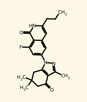 CCCc1cc2cc(-n3nc(C)c4c3CC(C)(C)CC4=O)cc(F)c2c(=O)[nH]1